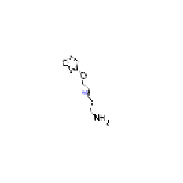 NCC/C=C/COc1ccon1